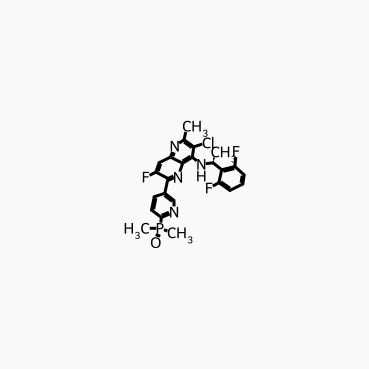 Cc1nc2cc(F)c(-c3ccc(P(C)(C)=O)nc3)nc2c(N[C@H](C)c2c(F)cccc2F)c1Cl